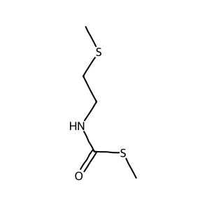 CSCCNC(=O)SC